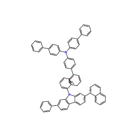 C/C=C(\C=C/Cc1ccccc1-n1c2cc(-c3ccccc3)ccc2c2ccc(-c3cccc4ccccc34)cc21)c1ccc(N(c2ccc(-c3ccccc3)cc2)c2ccc(-c3ccccc3)cc2)cc1